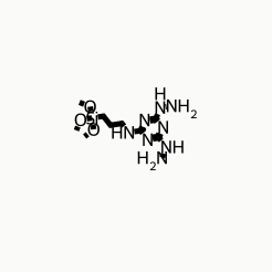 CO[Si](CCCNc1nc(NN)nc(NN)n1)(OC)OC